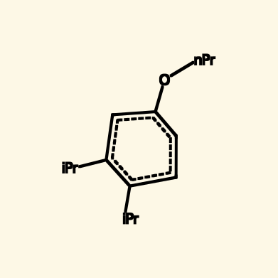 CCCOc1ccc(C(C)C)c(C(C)C)c1